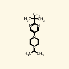 CC(C)N1CCN(c2cnc(C(C)(C)C)nc2)CC1